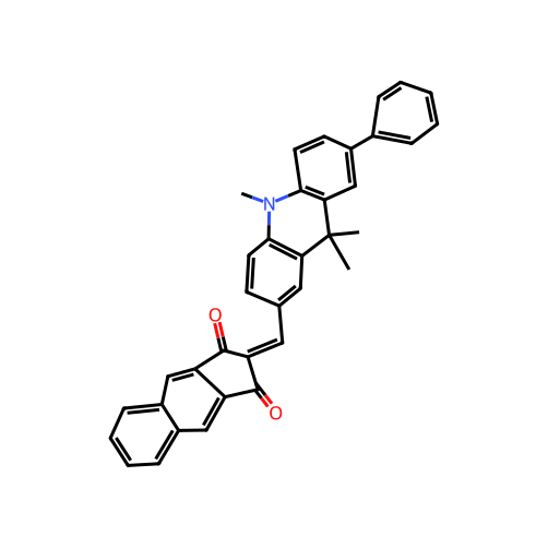 CN1c2ccc(C=C3C(=O)c4cc5ccccc5cc4C3=O)cc2C(C)(C)c2cc(-c3ccccc3)ccc21